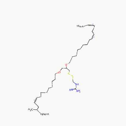 CCCCC/C=C\C/C=C\CCCCCCCCOC(COCCCCCCCC/C=C\CC(C)CCCCC)CSSCNC(=N)N